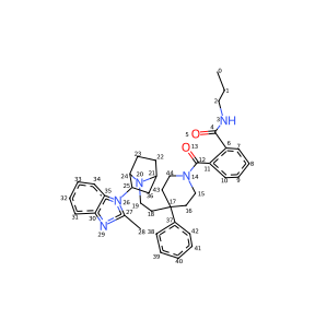 CCCNC(=O)c1ccccc1C(=O)N1CCC(CCN2C3CCC2C(n2c(C)nc4ccccc42)C3)(c2ccccc2)CC1